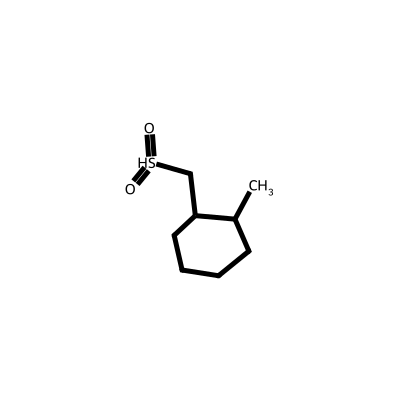 CC1CCCCC1C[SH](=O)=O